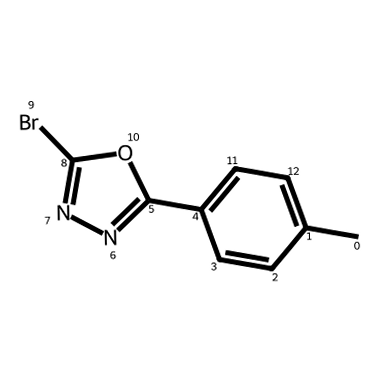 Cc1ccc(-c2nnc(Br)o2)cc1